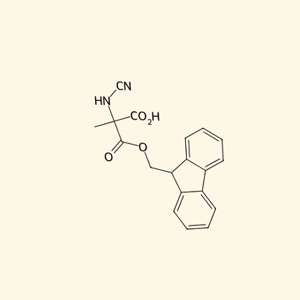 CC(NC#N)(C(=O)O)C(=O)OCC1c2ccccc2-c2ccccc21